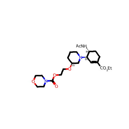 CCOC(=O)C1=C[C@@H](N2CCC[C@H](OCCOC(=O)N3CCOCC3)C2)[C@H](NC(C)=O)CC1